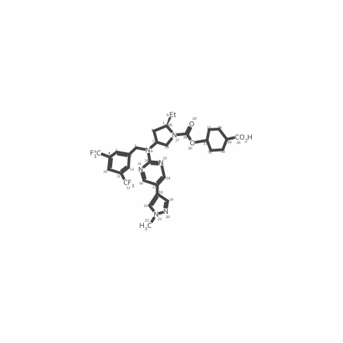 CC[C@@H]1CC(N(Cc2cc(C(F)(F)F)cc(C(F)(F)F)c2)c2ncc(-c3cnn(C)c3)cn2)CN1C(=O)OC1CCC(C(=O)O)CC1